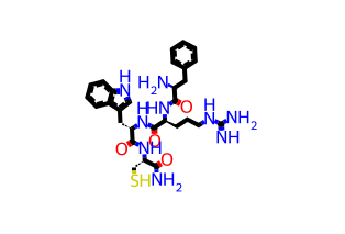 N=C(N)NCCC[C@H](NC(=O)[C@@H](N)Cc1ccccc1)C(=O)N[C@@H](Cc1c[nH]c2ccccc12)C(=O)N[C@@H](CS)C(N)=O